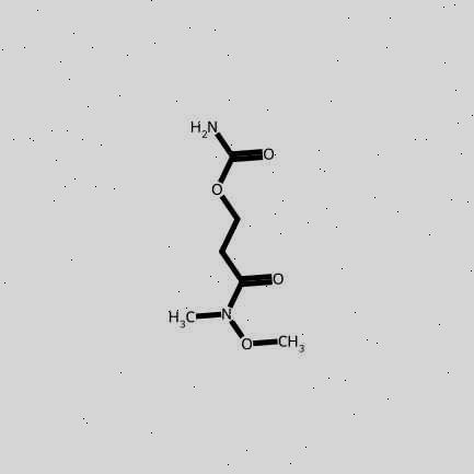 CON(C)C(=O)CCOC(N)=O